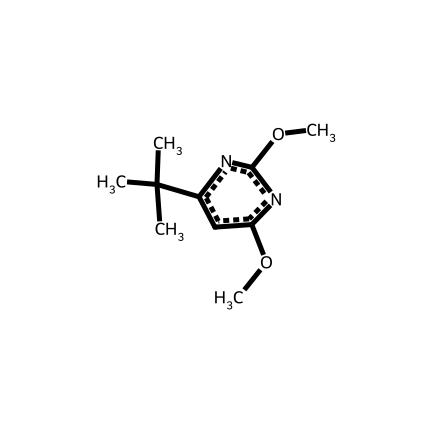 COc1cc(C(C)(C)C)nc(OC)n1